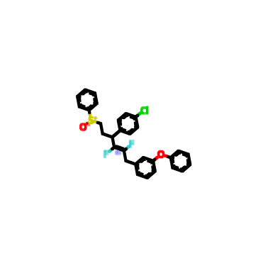 [O-][S+](CCC(/C(F)=C(\F)Cc1cccc(Oc2ccccc2)c1)c1ccc(Cl)cc1)c1ccccc1